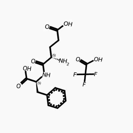 N[C@@H](CCC(=O)O)C(=O)N[C@@H](Cc1ccccc1)C(=O)O.O=C(O)C(F)(F)F